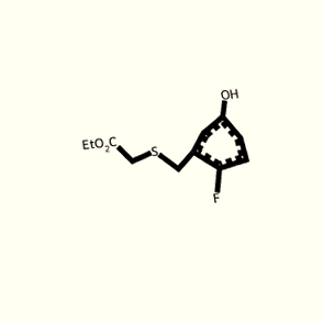 CCOC(=O)CSCc1cc(O)ccc1F